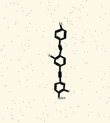 CCCCCCc1ccc(C#Cc2ccc(C#Cc3ccc(CC)cc3)c(F)c2)cc1F